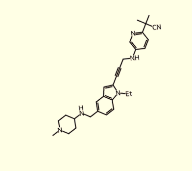 CCn1c(C#CCNc2ccc(C(C)(C)C#N)nc2)cc2cc(CNC3CCN(C)CC3)ccc21